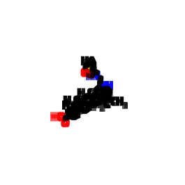 C=C(C)[C@@H]1CC[C@]2(NCCNC[C@@H]3C4C[C@H]4CS3(=O)=O)CC[C@]3(C)[C@H](CC[C@@H]4[C@@]5(C)CC=C(c6ccc(C(=O)O)cc6)C(C)(C)[C@@H]5CC[C@]43C)[C@@H]12